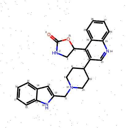 O=C1NCC(c2c(C3CCN(Cc4cc5ccccc5[nH]4)CC3)cnc3ccccc23)O1